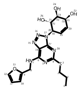 CCCSc1nc(NCc2ccco2)c2nnn([C@@H]3C=C[C@H](O)[C@H](O)[C@H]3O)c2n1